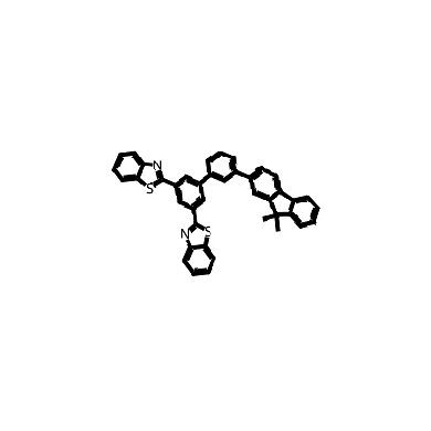 CC1(C)c2ccccc2-c2ccc(-c3cccc(-c4cc(-c5nc6ccccc6s5)cc(-c5nc6ccccc6s5)c4)c3)cc21